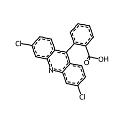 O=C(O)c1ccccc1-c1c2ccc(Cl)cc2nc2cc(Cl)ccc12